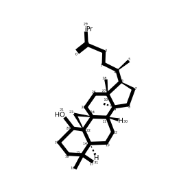 C=C(CC[C@@H](C)[C@H]1CC[C@@]2(C)[C@@H]3CC[C@H]4C(C)(C)CCC(O)[C@@]45C[C@@]35CC[C@]12C)C(C)C